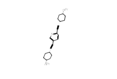 CCC[C@H]1CC[C@H](C#Cc2ccc(C#C[C@H]3CC[C@H](CCC)CC3)nc2)CC1